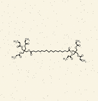 C=CC(=O)OCC(COC(=O)C=C)(COC(=O)C=C)COC(=O)CCCCCCCCCCCCCCCCC(=O)OCC(COC(=O)C=C)(COC(=O)C=C)COC(=O)C=C